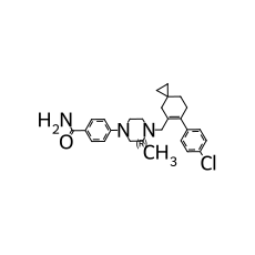 C[C@@H]1CN(c2ccc(C(N)=O)cc2)CCN1CC1=C(c2ccc(Cl)cc2)CCC2(CC2)C1